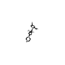 CC(C)c1nc(I)cn1C1[C@H]2CC(N3CCOCC3)C[C@@H]12